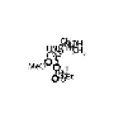 CCNS(=O)(=O)c1ccccc1-c1ccc(CN2C(=O)[C@H](NC(=O)CC(C)(C)NC[C@@H](C)O)CCc3cc(OC)ccc32)cc1